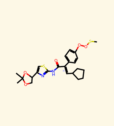 CSOOc1ccc(/C(=C\C2CCCC2)C(=O)Nc2nc(C3COC(C)(C)O3)cs2)cc1